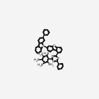 Bc1c(B)c(B)c(-c2nc(-c3ccccc3)nc(-c3cccc4oc5cc(-n6c7ccccc7c7ccc(-c8ccccc8)cc76)ccc5c34)n2)c(B)c1B